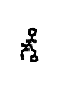 N#CCNC(=O)C(NC(=O)c1ccccc1)SCCc1ccccc1